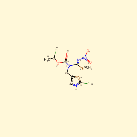 CSC(=N[N+](=O)[O-])N(Cc1cnc(Cl)s1)C(=O)OC(C)Cl